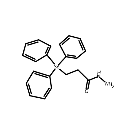 NNC(=O)C[CH2][Sn]([c]1ccccc1)([c]1ccccc1)[c]1ccccc1